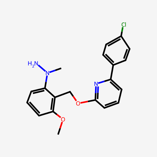 COc1cccc(N(C)N)c1COc1cccc(-c2ccc(Cl)cc2)n1